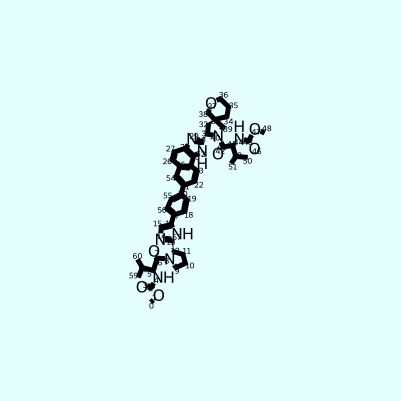 COC(=O)N[C@H](C(=O)N1CCC[C@H]1c1ncc(-c2ccc(-c3ccc4c(ccc5nc([C@@H]6C[C@@]7(CCCOC7)CN6C(=O)[C@@H](NC(=O)OC)C(C)C)[nH]c54)c3)cc2)[nH]1)C(C)C